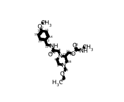 CCOCN1CCN(CC(=O)NCc2ccc(OC)cc2)C(COC(=O)NC)C1